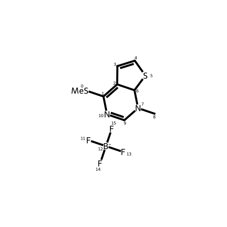 CSC1=C2C=CSC2N(C)C=N1.F[B-](F)(F)F